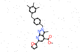 COC(=O)c1cc(-c2ccco2)nc2nn(Cc3ccc(Cc4cc(C)c(C)c(C)c4)cc3)c(C)c12